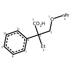 CCCOCC(CC)(C(=O)O)c1ccccc1